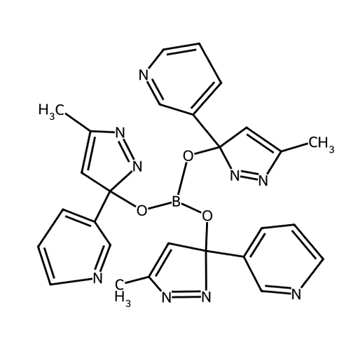 CC1=CC(OB(OC2(c3cccnc3)C=C(C)N=N2)OC2(c3cccnc3)C=C(C)N=N2)(c2cccnc2)N=N1